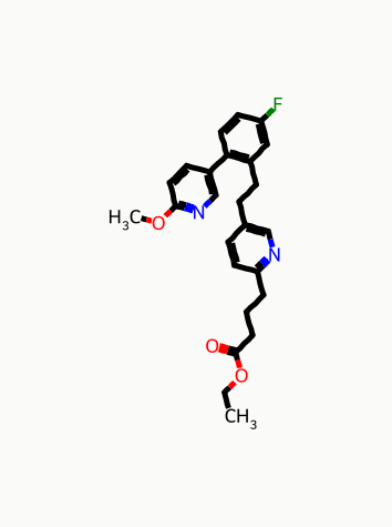 CCOC(=O)CCCc1ccc(CCc2cc(F)ccc2-c2ccc(OC)nc2)cn1